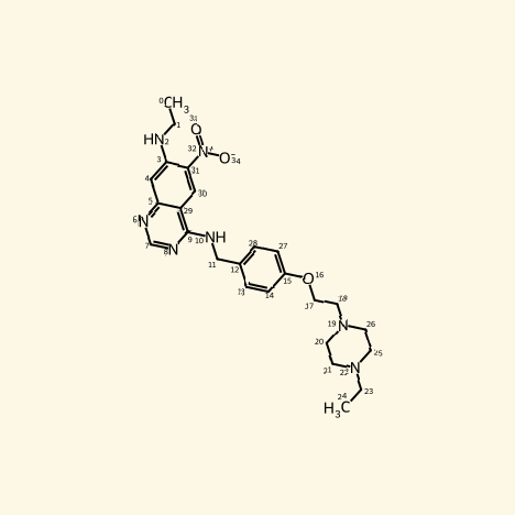 CCNc1cc2ncnc(NCc3ccc(OCCN4CCN(CC)CC4)cc3)c2cc1[N+](=O)[O-]